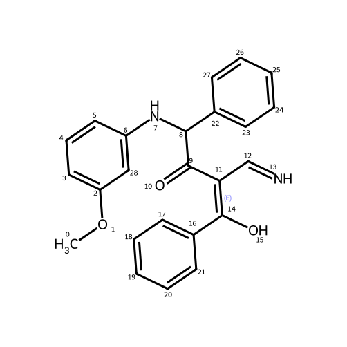 COc1cccc(NC(C(=O)/C(C=N)=C(/O)c2ccccc2)c2ccccc2)c1